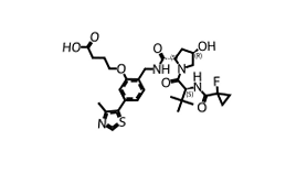 Cc1ncsc1-c1ccc(CNC(=O)[C@@H]2C[C@@H](O)CN2C(=O)[C@@H](NC(=O)C2(F)CC2)C(C)(C)C)c(OCCCC(=O)O)c1